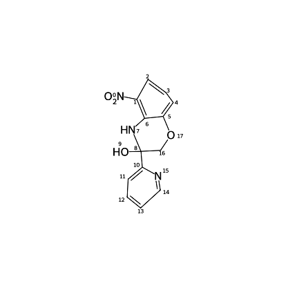 O=[N+]([O-])c1cccc2c1NC(O)(c1ccccn1)CO2